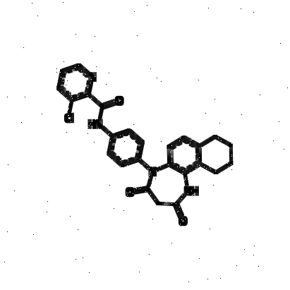 O=C1CC(=O)N(c2ccc(NC(=O)c3ncccc3Cl)cc2)c2ccc3c(c2N1)CCCC3